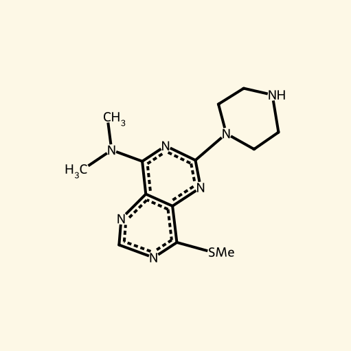 CSc1ncnc2c(N(C)C)nc(N3CCNCC3)nc12